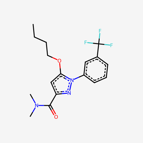 CCCCOc1cc(C(=O)N(C)C)nn1-c1cccc(C(F)(F)F)c1